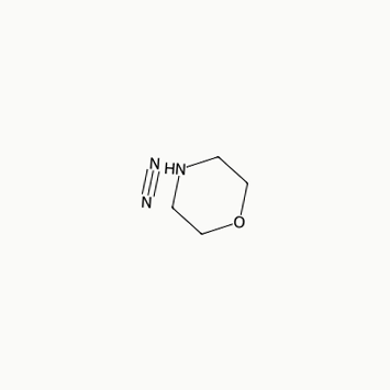 C1COCCN1.N#N